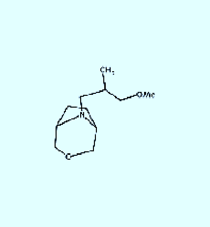 COCC(C)CN1C2CCC1COC2